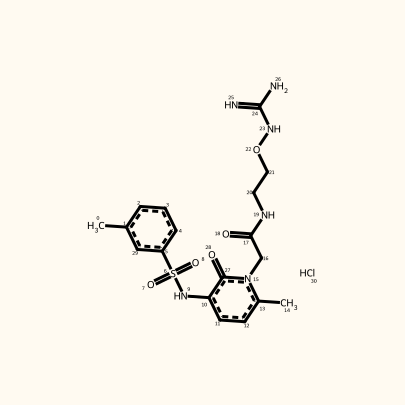 Cc1cccc(S(=O)(=O)Nc2ccc(C)n(CC(=O)NCCONC(=N)N)c2=O)c1.Cl